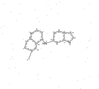 Ic1ccc2nccc(Nc3ccc4scnc4c3)c2c1